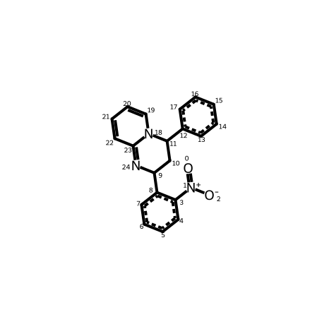 O=[N+]([O-])c1ccccc1C1CC(c2ccccc2)N2C=CC=CC2=N1